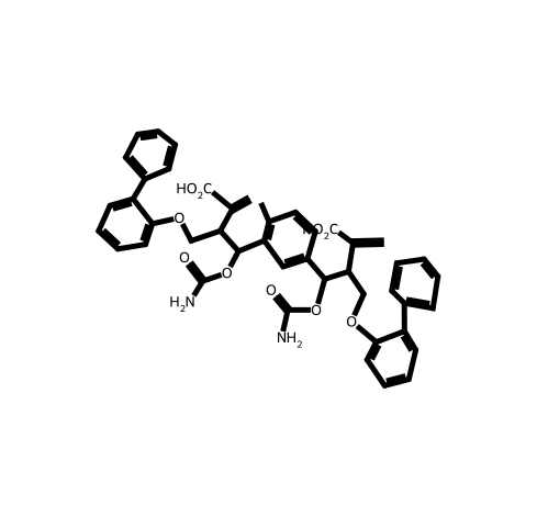 C=C(C(=O)O)C(COc1ccccc1-c1ccccc1)C(OC(N)=O)c1ccc(C)c(C(OC(N)=O)C(COc2ccccc2-c2ccccc2)C(=C)C(=O)O)c1